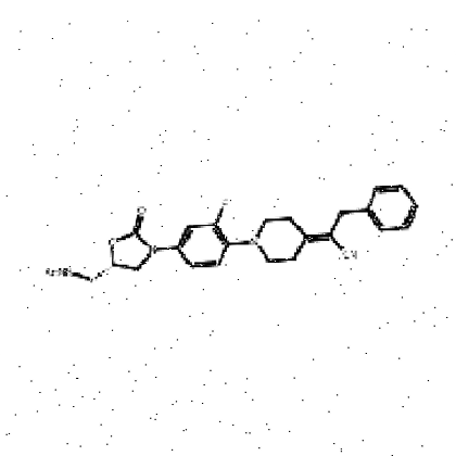 CC(=O)NC[C@H]1CN(c2ccc(N3CCC(=C(C#N)Cc4ccccc4)CC3)c(F)c2)C(=O)O1